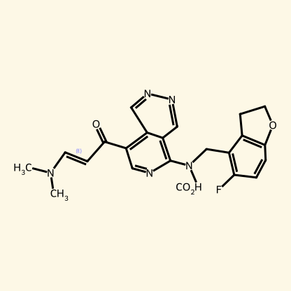 CN(C)/C=C/C(=O)c1cnc(N(Cc2c(F)ccc3c2CCO3)C(=O)O)c2cnncc12